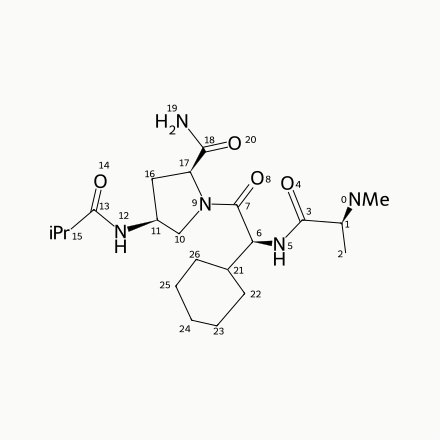 CN[C@@H](C)C(=O)N[C@H](C(=O)N1C[C@@H](NC(=O)C(C)C)C[C@H]1C(N)=O)C1CCCCC1